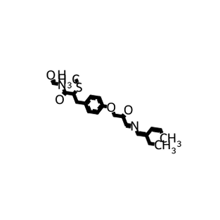 C\C=C/C(=C\N=C\C(=O)COc1ccc(CC(SC)C(=O)NC=O)cc1)CC